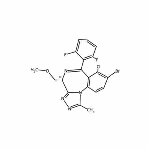 COC[C@@H]1N=C(c2c(F)cccc2F)c2c(ccc(Br)c2Cl)-n2c(C)nnc21